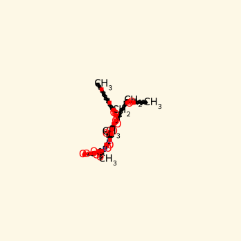 C=C(CCCCCCCCC(COOC(=C)CCCCCCCCCCCCCCCC)COC(=O)CCCC(=O)Oc1ccc(/C=C/C(=O)CC(=O)/C=C/c2ccc(OC(=O)CCCOC=O)c(OC)c2)cc1OC)OOCCCCCCCC